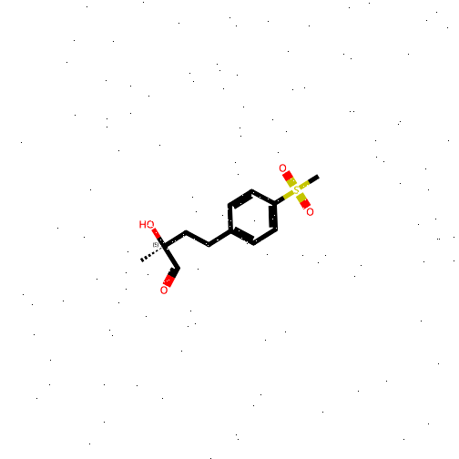 C[C@@](O)(C=O)CCc1ccc(S(C)(=O)=O)cc1